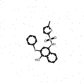 Cc1ccc(S(=O)(=O)Nc2cc(Sc3ccccc3)c(O)c3ccccc23)s1